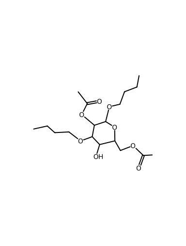 CCCCOC1OC(COC(C)=O)C(O)C(OCCCC)C1OC(C)=O